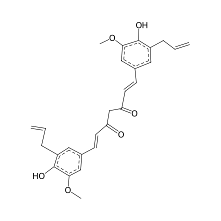 C=CCc1cc(C=CC(=O)CC(=O)C=Cc2cc(CC=C)c(O)c(OC)c2)cc(OC)c1O